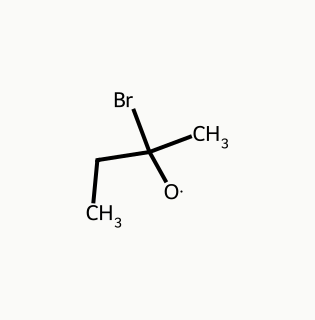 CCC(C)([O])Br